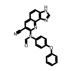 N#Cc1cc2ccc3[nH]cnc3c2nc1N(C=O)c1ccc(Oc2ccccc2)cc1